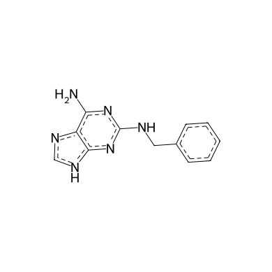 Nc1nc(NCc2ccccc2)nc2[nH]cnc12